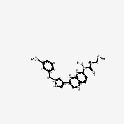 COCNC(=O)N(S)c1ccc2ncc(-c3cnn(Cc4cccc(OC)c4)c3)nc2n1